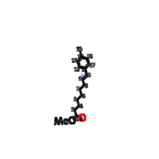 COC(=O)CCCCCC/C=C/c1ccc(C)cc1